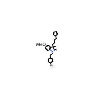 CCc1ccc(CC[N+]2=C(C)C(C)(CCCCC3C=CC=C3)c3cc(OC)ccc32)cc1